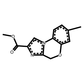 COC(=O)c1cn2c(n1)COc1cc(C)ccc1-2